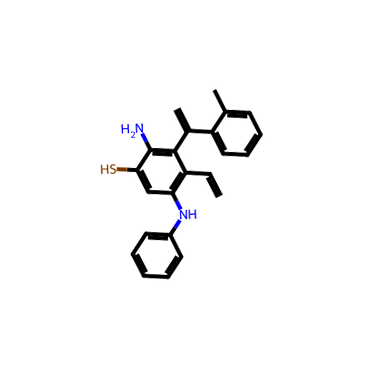 C=Cc1c(Nc2ccccc2)cc(S)c(N)c1C(=C)c1ccccc1C